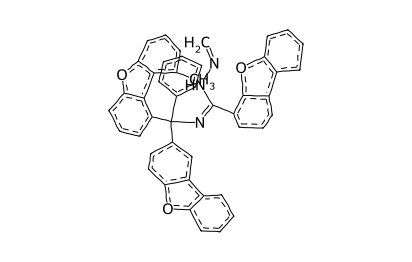 C=NN/C(=N\C(c1ccccc1)(c1ccc2oc3ccccc3c2c1)c1cccc2oc3cccc(C)c3c12)c1cccc2c1oc1ccccc12